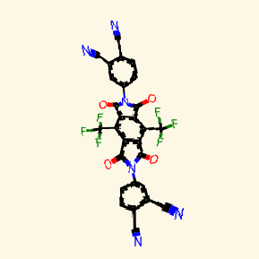 N#Cc1ccc(-n2c(=O)c3c(C(F)(F)F)c4c(=O)n(-c5ccc(C#N)c(C#N)c5)c(=O)c4c(C(F)(F)F)c3c2=O)cc1C#N